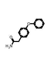 NC(=O)Cc1ccc(Oc2ccccc2)cc1